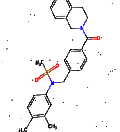 Cc1ccc(N(Cc2ccc(C(=O)N3CCc4ccccc4C3)cc2)S(C)(=O)=O)cc1C